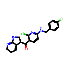 O=C(C1CNC2=NCCC=C21)C1C=CC(NCc2ccc(Cl)cc2)=NC1Cl